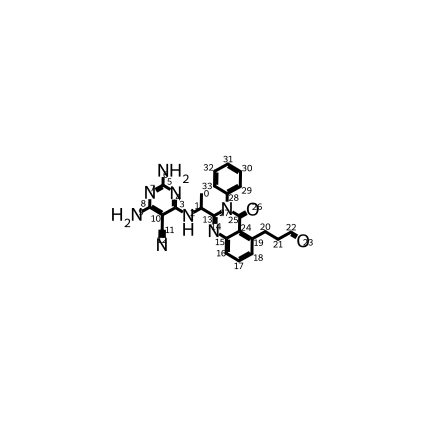 CC(Nc1nc(N)nc(N)c1C#N)c1nc2cccc(CCC=O)c2c(=O)n1-c1ccccc1